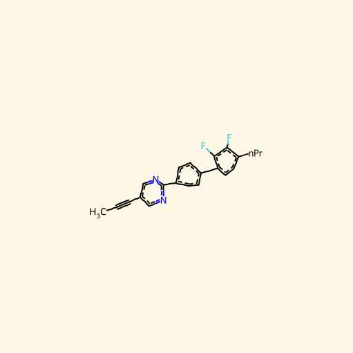 CC#Cc1cnc(-c2ccc(-c3ccc(CCC)c(F)c3F)cc2)nc1